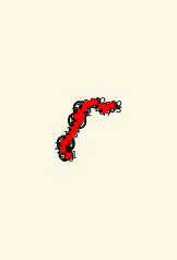 Cc1c(C)c2c(c(C)c1OC(=O)CCCCCCCCC(=O)OC(C)(C)CCOC(C)C)CCC(C)(CCCCCC(C)CCCC(C)CCCC(C)C)O2